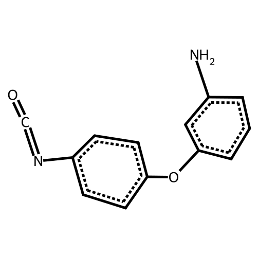 Nc1cccc(Oc2ccc(N=C=O)cc2)c1